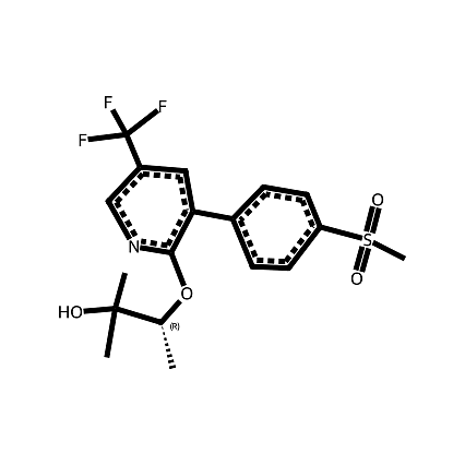 C[C@@H](Oc1ncc(C(F)(F)F)cc1-c1ccc(S(C)(=O)=O)cc1)C(C)(C)O